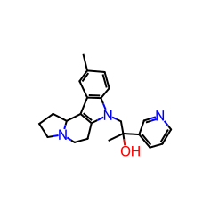 Cc1ccc2c(c1)c1c(n2CC(C)(O)c2cccnc2)CCN2CCCC12